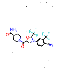 N#Cc1ccc(N2CC(C(=O)N3CCC(C(N)=O)CC3)OC2C(F)(F)F)cc1C(F)(F)F